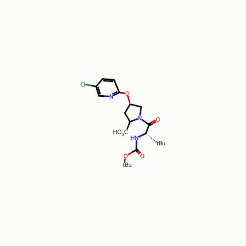 CC(C)(C)OC(=O)N[C@H](C(=O)N1C[C@H](Oc2ccc(Cl)cn2)CC1C(=O)O)C(C)(C)C